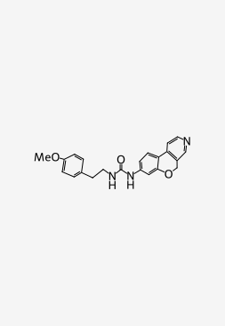 COc1ccc(CCNC(=O)Nc2ccc3c(c2)OCc2cnccc2-3)cc1